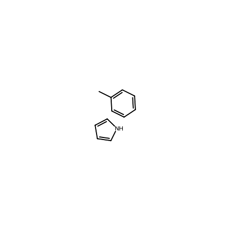 Cc1ccccc1.c1cc[nH]c1